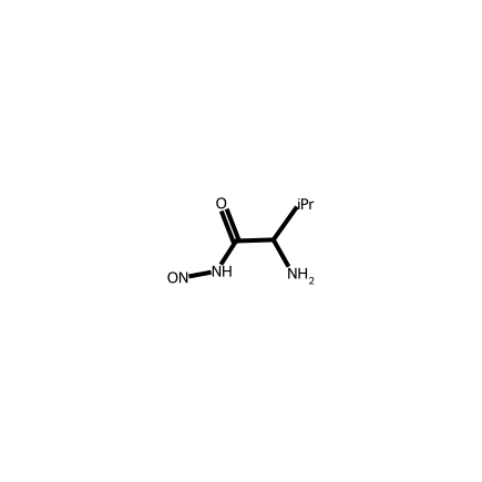 CC(C)C(N)C(=O)NN=O